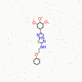 COc1cc(-c2cn3nc(NCCOc4ccccc4)sc3n2)cc(OC)c1OC